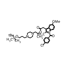 COc1ccc2c(c1)c(CC(=O)OC(C)CN1CCN(CCCO[Si](C)(C)C(C)(C)C)CC1)c(C)n2C(=O)c1ccc(Cl)cc1